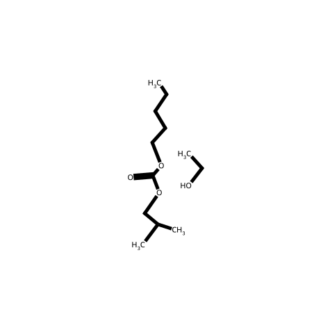 CCCCCOC(=O)OCC(C)C.CCO